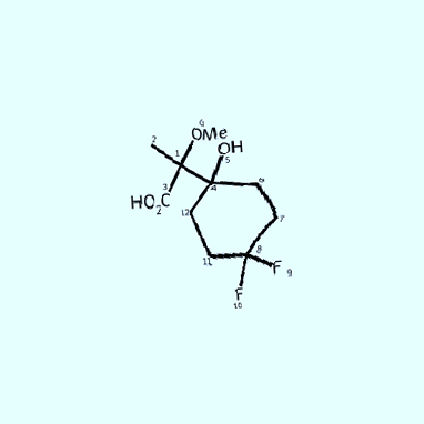 COC(C)(C(=O)O)C1(O)CCC(F)(F)CC1